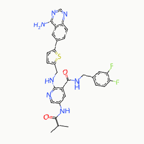 CC(C)C(=O)Nc1cnc(NCc2ccc(-c3ccc4ncnc(N)c4c3)s2)c(C(=O)NCc2ccc(F)c(F)c2)c1